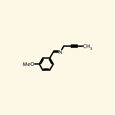 CC#CCN=Cc1cccc(OC)c1